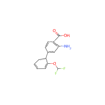 Nc1cc(-c2ccccc2OC(F)F)ccc1C(=O)O